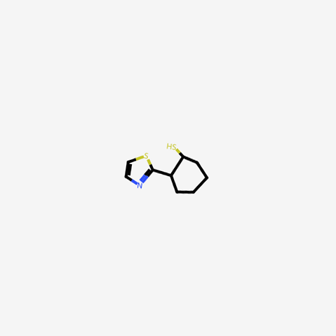 SC1CCCCC1c1nccs1